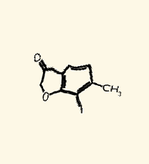 Cc1ccc2c(c1I)OCC2=O